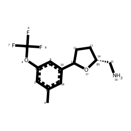 Cc1cc(OC(F)(F)F)cc(C2CC[C@H](CN)O2)c1